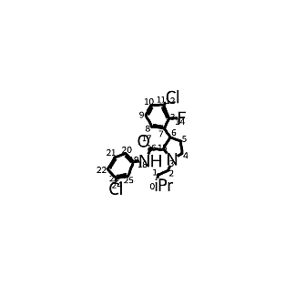 CC(C)CCN1CCC(c2cccc(Cl)c2F)C1C(=O)Nc1cccc(Cl)c1